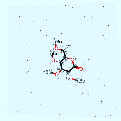 CCCCO[C@@H]1[C@@H]([C@@H](CC)OCCCC)OC(=O)[C@H](OCCCC)[C@H]1OCCCC